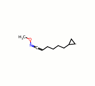 CON=C=CCCCCC1[CH]C1